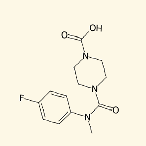 CN(C(=O)N1CCN(C(=O)O)CC1)c1ccc(F)cc1